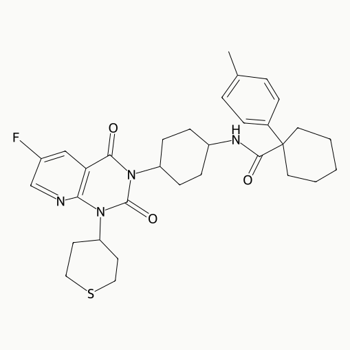 Cc1ccc(C2(C(=O)NC3CCC(n4c(=O)c5cc(F)cnc5n(C5CCSCC5)c4=O)CC3)CCCCC2)cc1